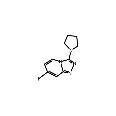 Ic1ccn2c(N3CCCC3)nnc2c1